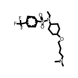 CCN(C1CCC(OCCCCN(C)C)CC1)S(=O)(=O)c1ccc(C(F)(F)F)cc1